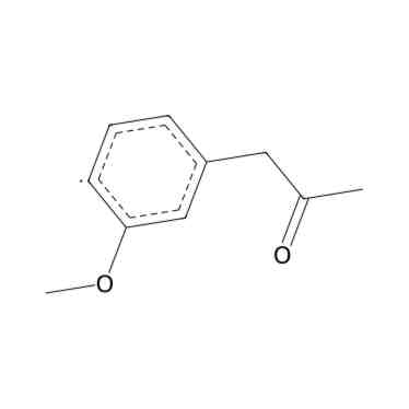 COc1[c]ccc(CC(C)=O)c1